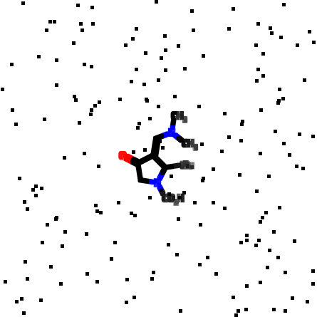 CN(C)C=C1C(=O)CN(C(=O)O)C1C(C)(C)C